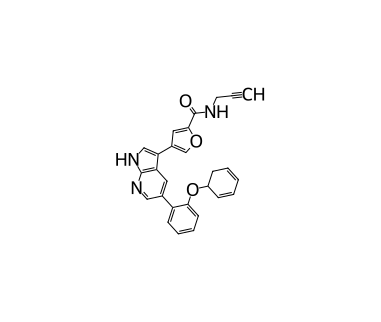 C#CCNC(=O)c1cc(-c2c[nH]c3ncc(-c4ccccc4OC4C=CC=CC4)cc23)co1